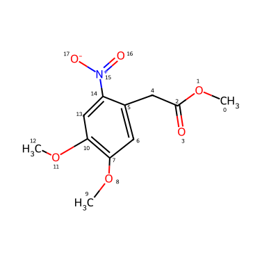 COC(=O)Cc1cc(OC)c(OC)cc1[N+](=O)[O-]